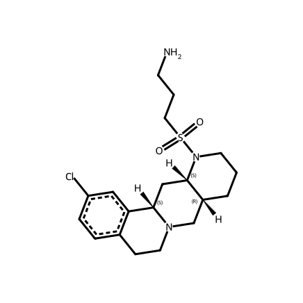 NCCCS(=O)(=O)N1CCC[C@@H]2CN3CCc4ccc(Cl)cc4[C@@H]3C[C@@H]21